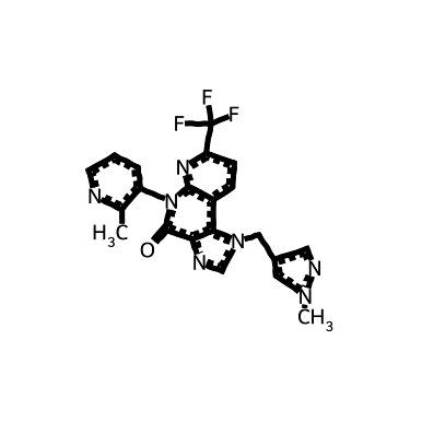 Cc1ncccc1-n1c(=O)c2ncn(Cc3cnn(C)c3)c2c2ccc(C(F)(F)F)nc21